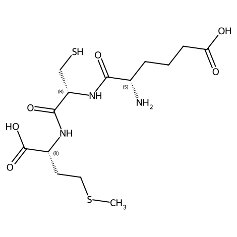 CSCC[C@@H](NC(=O)[C@H](CS)NC(=O)[C@@H](N)CCCC(=O)O)C(=O)O